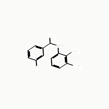 Cc1cccc(NC(C)c2cccc(Cl)c2)c1C